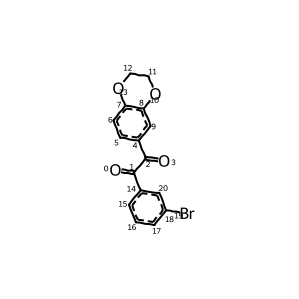 O=C(C(=O)c1ccc2c(c1)OCCO2)c1cccc(Br)c1